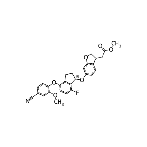 COC(=O)CC1COc2cc(O[C@@H]3CCc4c(Oc5ccc(C#N)cc5OC)ccc(F)c43)ccc21